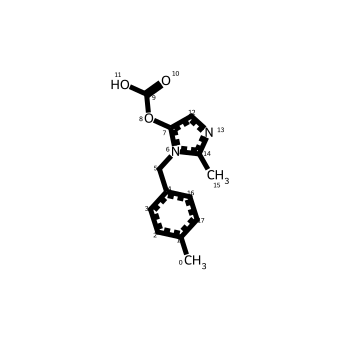 Cc1ccc(Cn2c(OC(=O)O)cnc2C)cc1